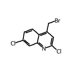 Clc1ccc2c(CBr)cc(Cl)nc2c1